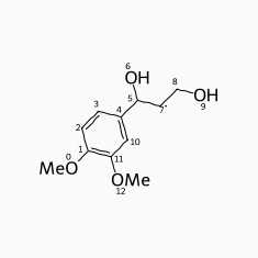 COc1ccc(C(O)[CH]CO)cc1OC